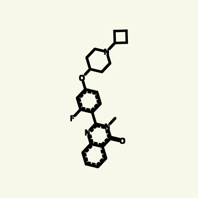 Cn1c(-c2ccc(OC3CCN(C4CCC4)CC3)cc2F)nc2ccccc2c1=O